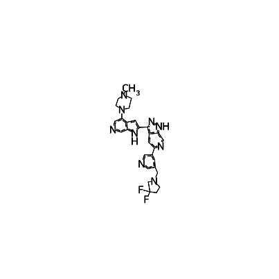 CN1CCN(c2cncc3[nH]c(-c4n[nH]c5cnc(-c6cncc(CN7CCC(F)(F)C7)c6)cc45)cc23)CC1